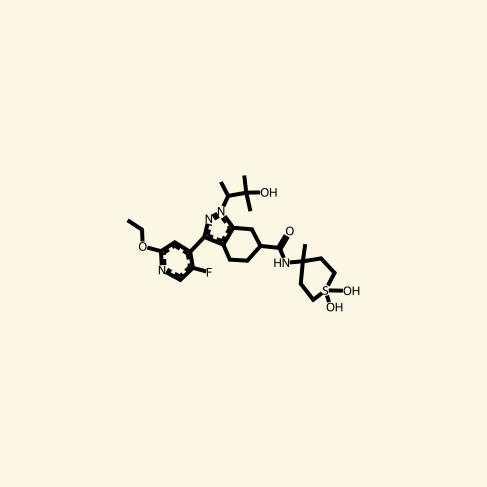 CCOc1cc(-c2nn(C(C)C(C)(C)O)c3c2CCC(C(=O)NC2(C)CCS(O)(O)CC2)C3)c(F)cn1